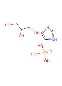 O=P(O)(O)O.OCC(O)CO.c1c[nH]cn1